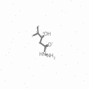 CC(C)C(O)CC(=O)NN